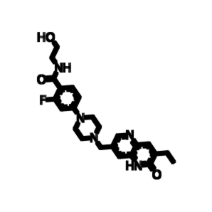 CCc1cc2ncc(CN3CCN(c4ccc(C(=O)NCCO)c(F)c4)CC3)cc2[nH]c1=O